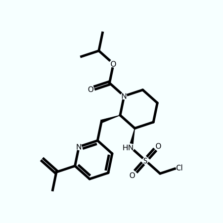 C=C(C)c1cccc(C[C@@H]2[C@H](NS(=O)(=O)CCl)CCCN2C(=O)OC(C)C)n1